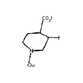 CC(C)(C)N1CCC(C(=O)O)C(F)C1